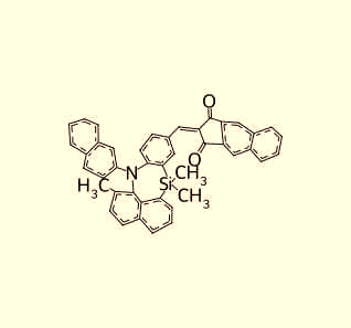 Cc1ccc2cccc3c2c1N(c1ccc2ccccc2c1)c1ccc(C=C2C(=O)c4cc5ccccc5cc4C2=O)cc1[Si]3(C)C